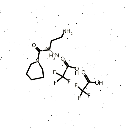 NCC[C@H](N)C(=O)N1CCCCC1.O=C(O)C(F)(F)F.O=C(O)C(F)(F)F